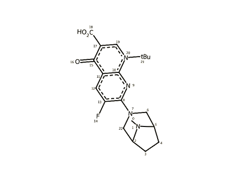 CN1C2CCC1CN(c1nc3c(cc1F)c(=O)c(C(=O)O)cn3C(C)(C)C)C2